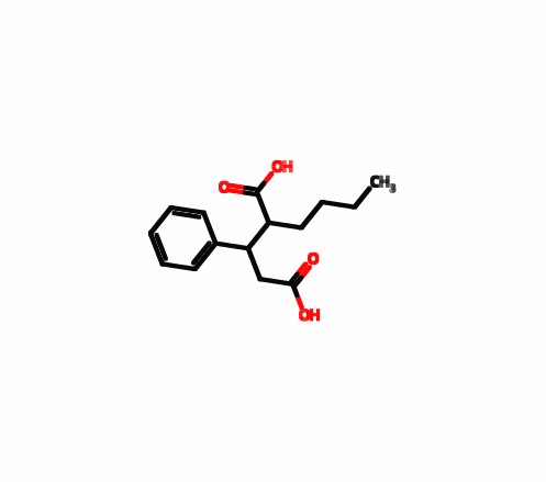 CCCCC(C(=O)O)C(CC(=O)O)c1ccccc1